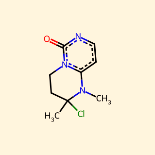 CN1c2ccnc(=O)n2CCC1(C)Cl